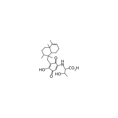 CC1=CCCC2C1(C)CCC(C)C2(C)CC1=C(O)C(=O)C=C(NC(C(=O)O)C(C)O)C1=O